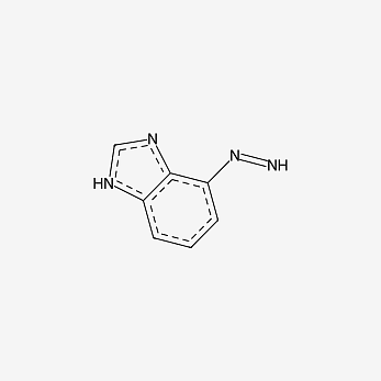 N=Nc1cccc2[nH]cnc12